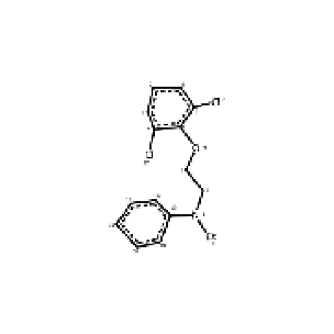 CCN(CCOc1c(Cl)cccc1Cl)c1ccccc1